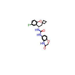 O=C1COc2ccc(NC(=O)N[C@H]3CC4(CCC4)Oc4ccc(F)cc43)cc2N1